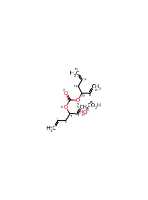 C=CCC(C=C)OC(=O)OC(C=C)CC=C.O=C(O)O